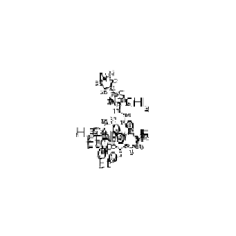 CCOP(=O)(OCC)C(Cc1ccc(F)c(OCCCc2nc(-c3ccncc3)sc2C)c1)P1(=O)NC(C)CCO1